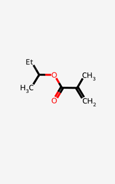 C=C(C)C(=O)O[C](C)CC